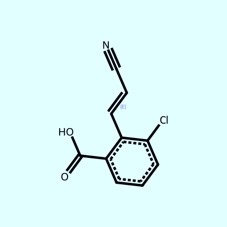 N#C/C=C/c1c(Cl)cccc1C(=O)O